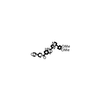 COc1ccc(-c2ccnc3cc(C(=O)Nc4ccc(C(=O)N5CCC(N6CCOCC6)CC5)cc4F)nn23)cc1OC